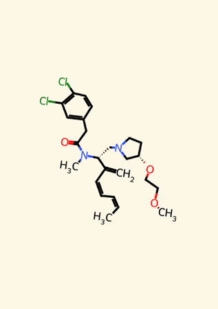 C=C(/C=C\C=C/C)[C@@H](CN1CC[C@H](OCCOC)C1)N(C)C(=O)Cc1ccc(Cl)c(Cl)c1